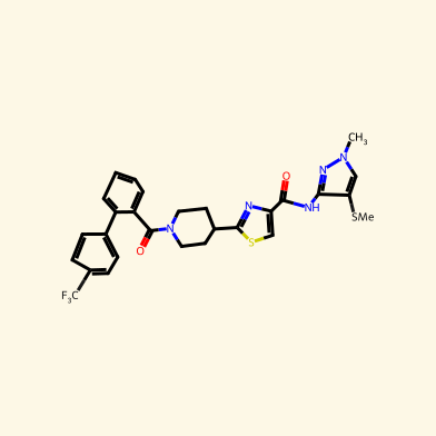 CSc1cn(C)nc1NC(=O)c1csc(C2CCN(C(=O)c3ccccc3-c3ccc(C(F)(F)F)cc3)CC2)n1